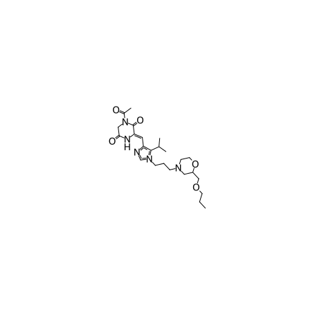 CCCOCC1CN(CCCn2cnc(/C=C3\NC(=O)CN(C(C)=O)C3=O)c2C(C)C)CCO1